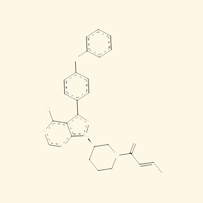 C/C=C/C(=O)N1CCC[C@@H](n2nc(-c3ccc(Oc4ccccc4)cc3)c3c(N)ncnc32)C1